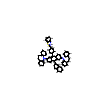 C1=CC2=C(CC1)CCc1ccccc1N2c1ccc2c(-c3ccc4c(c3)CCC=C4)c3cc(N4c5ccccc5CCc5ccccc54)ccc3c(C3=CC=C(c4nc5ccccc5s4)CC3)c2c1